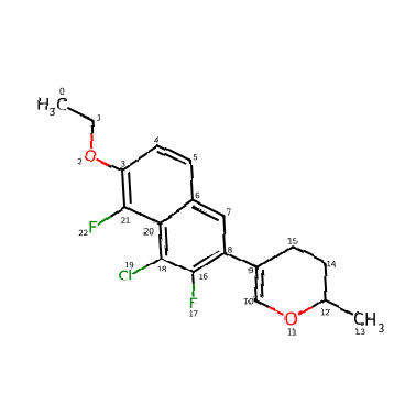 CCOc1ccc2cc(C3=COC(C)CC3)c(F)c(Cl)c2c1F